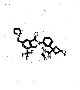 COC1CC(c2cccc(N3Cc4c(cc(CN5CCCC5)cc4C(F)(F)F)C3=O)c2)(c2nncn2C)C1